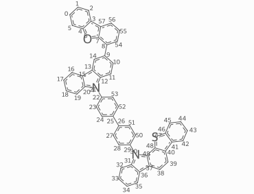 c1ccc2c(c1)oc1c(-c3ccc4c(c3)c3ccccc3n4-c3ccc(-c4ccc(-n5c6ccccc6c6ccc7c8ccccc8sc7c65)cc4)cc3)cccc12